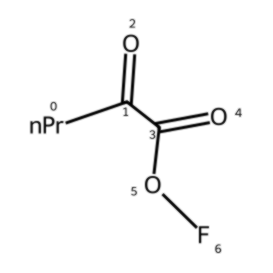 CCCC(=O)C(=O)OF